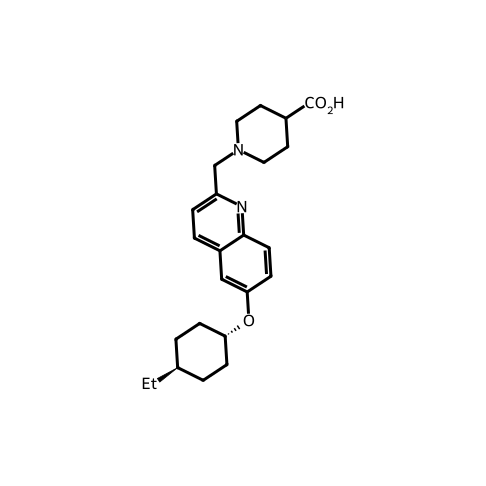 CC[C@H]1CC[C@H](Oc2ccc3nc(CN4CCC(C(=O)O)CC4)ccc3c2)CC1